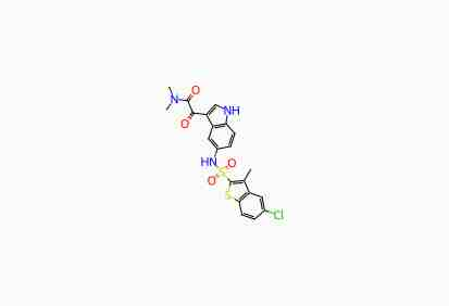 Cc1c(S(=O)(=O)Nc2ccc3[nH]cc(C(=O)C(=O)N(C)C)c3c2)sc2ccc(Cl)cc12